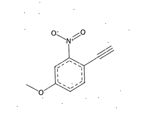 C#Cc1ccc(OC)cc1[N+](=O)[O-]